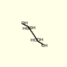 OCC#CC#CCC(O)C(O)CCCCCCCCCCCC[C@@H](O)[C@H](O)CC#CC#CCO